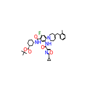 Cc1ccccc1CC1=CCCN(c2cc(F)c(C(=O)N[C@H]3CCC[C@H](C(=O)OC(C)(C)C)C3)cc2NC(=O)c2coc(C3CC3)n2)CC1